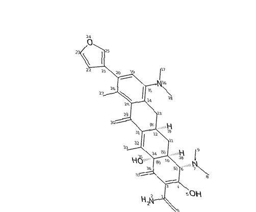 C=C(N)C1=C(O)[C@@H](N(C)C)[C@@H]2C[C@@H]3Cc4c(N(C)C)cc(-c5ccoc5)c(C)c4C(=C)C3=C(C)[C@]2(O)C1=C